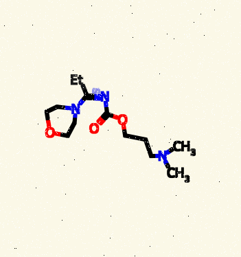 CC/C(=N/C(=O)OCCCN(C)C)N1CCOCC1